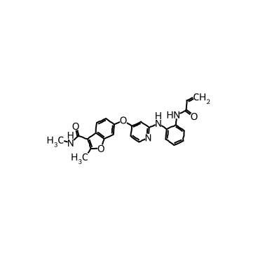 C=CC(=O)Nc1ccccc1Nc1cc(Oc2ccc3c(C(=O)NC)c(C)oc3c2)ccn1